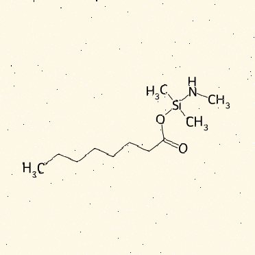 CCCCCCCC(=O)O[Si](C)(C)NC